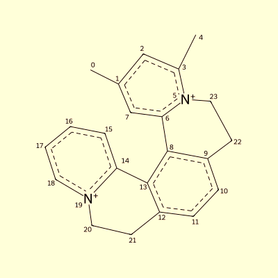 Cc1cc(C)[n+]2c(c1)-c1c(ccc3c1-c1cccc[n+]1CC3)CC2